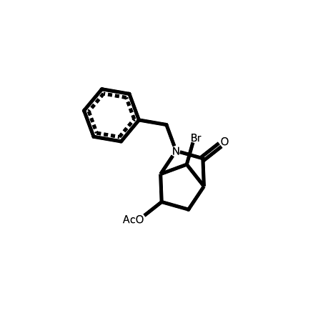 CC(=O)OC1CC2C(=O)N(Cc3ccccc3)C1C2Br